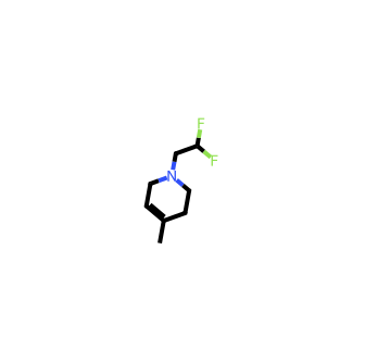 CC1=CCN(CC(F)F)CC1